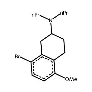 CCCN(CCC)C1CCc2c(OC)ccc(Br)c2C1